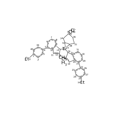 CCc1ccc(-c2cccc3c2C=C(C)[CH]3[Ti+2]2([CH]3C(C)=Cc4c(-c5ccc(CC)cc5)cccc43)[CH]3CCCC[CH]32)cc1.[Cl-].[Cl-]